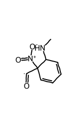 CNC1C=CC=CC1([C]=O)[N+](=O)[O-]